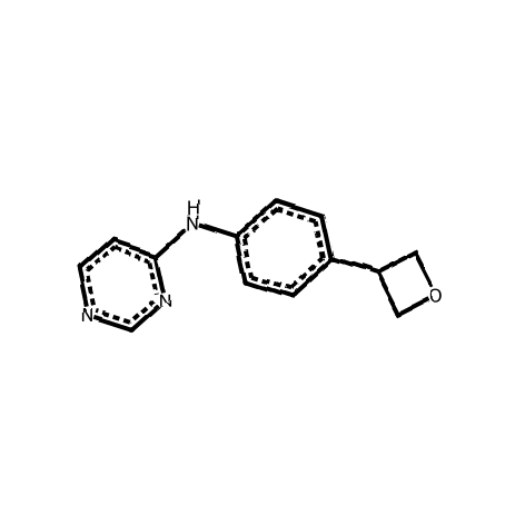 c1cc(Nc2ccc(C3COC3)cc2)ncn1